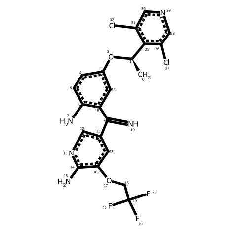 C[C@@H](Oc1ccc(N)c(C(=N)c2cnc(N)c(OCC(F)(F)F)c2)c1)c1c(Cl)cncc1Cl